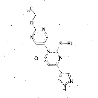 CCSc1nc(-c2cn[nH]c2)cc(=O)n1-c1cnc(OCC(F)(F)F)nc1